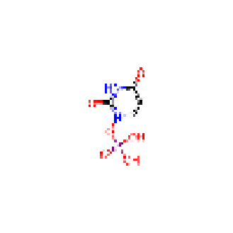 O=c1ccn(OP(=O)(O)O)c(=O)[nH]1